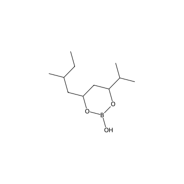 CCC(C)CC1CC(C(C)C)OB(O)O1